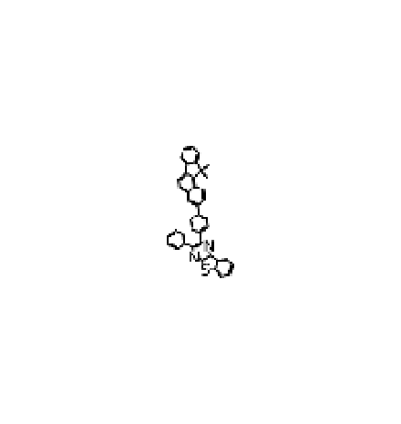 CC1(C)c2ccccc2-c2ccc3cc(-c4ccc(-c5nc6c(nc5-c5ccccc5)sc5ccccc56)cc4)ccc3c21